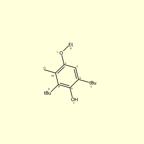 CCOc1cc(C(C)(C)C)c(O)c(C(C)(C)C)c1C